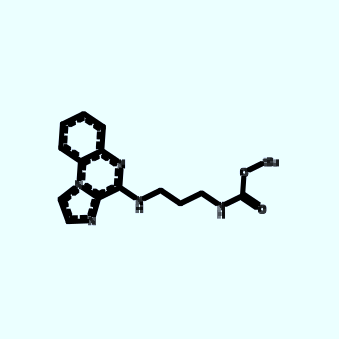 CC(C)(C)OC(=O)NCCCNc1nc2ccccc2n2ccnc12